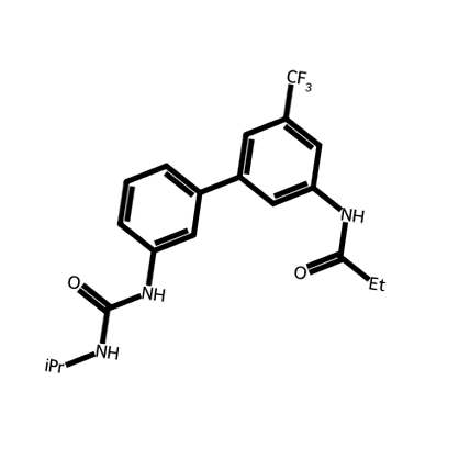 CCC(=O)Nc1cc(-c2cccc(NC(=O)NC(C)C)c2)cc(C(F)(F)F)c1